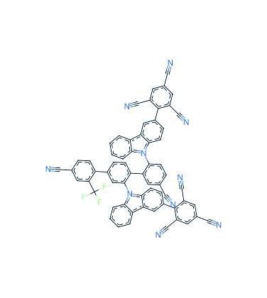 N#Cc1cc(C#N)c(-c2ccc3c(c2)c2ccccc2n3-c2ccc(C#N)cc2-c2ccc(-c3ccc(C#N)cc3C(F)(F)F)cc2-n2c3ccccc3c3cc(-c4c(C#N)cc(C#N)cc4C#N)ccc32)c(C#N)c1